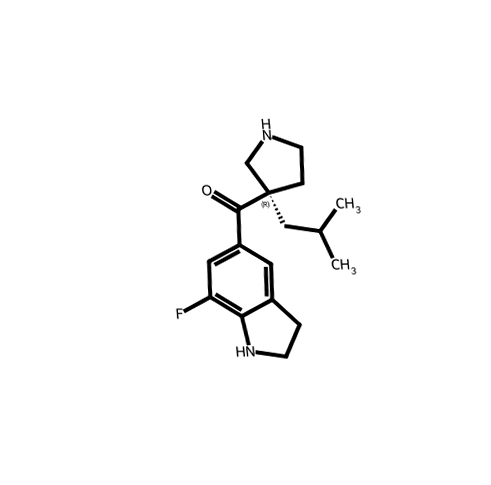 CC(C)C[C@@]1(C(=O)c2cc(F)c3c(c2)CCN3)CCNC1